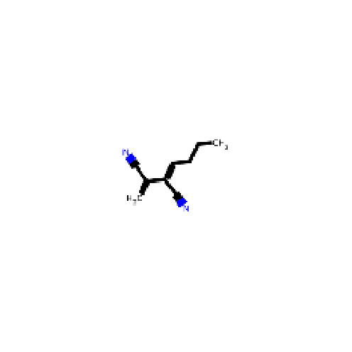 C=C(C#N)/C(C#N)=C/CCC